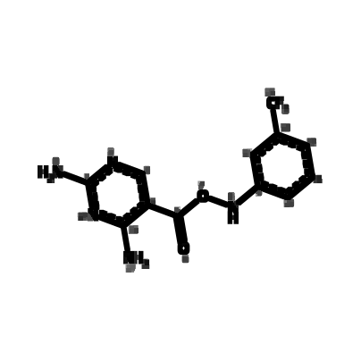 Nc1ncc(C(=O)ONc2cccc(C(F)(F)F)c2)c(N)n1